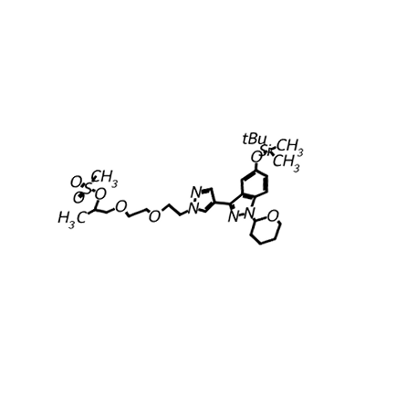 CC(COCCOCCn1cc(-c2nn(C3CCCCO3)c3ccc(O[Si](C)(C)C(C)(C)C)cc23)cn1)OS(C)(=O)=O